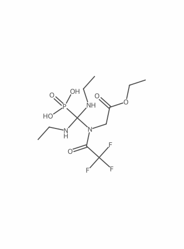 CCNC(NCC)(N(CC(=O)OCC)C(=O)C(F)(F)F)P(=O)(O)O